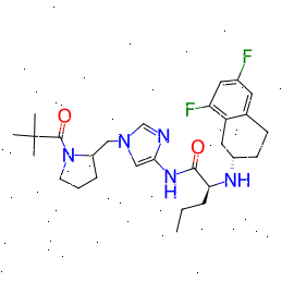 CCC[C@H](N[C@H]1CCc2cc(F)cc(F)c2C1)C(=O)Nc1cn(CC2CCCN2C(=O)C(C)(C)C)cn1